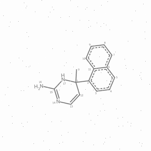 CC1(c2cccc3ccccc23)C=CN=C(N)N1